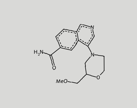 COCC1CN(c2cncc3ccc(C(N)=O)cc23)CCO1